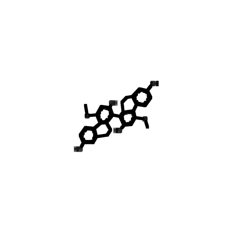 COc1cc(O)c(-c2c(O)cc(OC)c3c2CCc2cc(O)ccc2-3)c2c1-c1ccc(O)cc1CC2